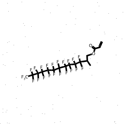 C=CC(=O)OCC(C)C(F)(F)C(F)(F)C(F)(F)C(F)(F)C(F)(F)C(F)(F)C(F)(F)C(F)(F)C(F)(F)C(F)(F)C(F)(F)F